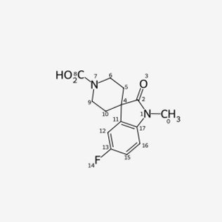 CN1C(=O)C2(CCN(C(=O)O)CC2)c2cc(F)ccc21